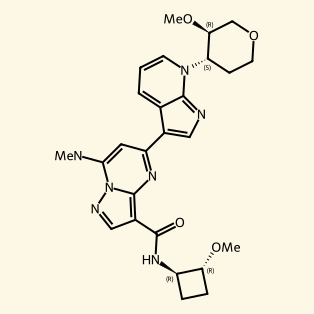 CNc1cc(-c2cnc3n([C@H]4CCOC[C@@H]4OC)cccc2-3)nc2c(C(=O)N[C@@H]3CC[C@H]3OC)cnn12